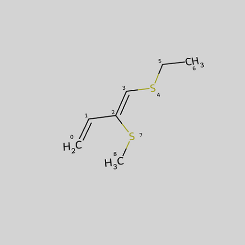 C=C/C(=C/SCC)SC